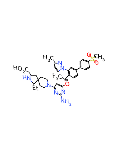 CCC1NC(C(=O)O)CC12CCN(c1cc(O[C@H](c3ccc(-c4ccc(S(C)(=O)=O)cc4)cc3-n3ccc(C)n3)C(F)(F)F)nc(N)n1)CC2